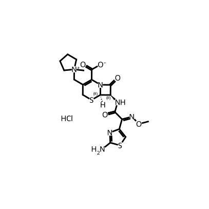 CON=C(C(=O)N[C@@H]1C(=O)N2C(C(=O)[O-])=C(C[N+]3(C)CCCC3)CS[C@H]12)c1csc(N)n1.Cl